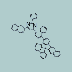 c1ccc(-c2nc(-c3ccc4ccccc4c3)cc(-c3ccc(-c4ccc5c(c4)C(c4ccccc4)(c4ccccc4)c4cc6ccccc6cc4-5)c4ccccc34)n2)cc1